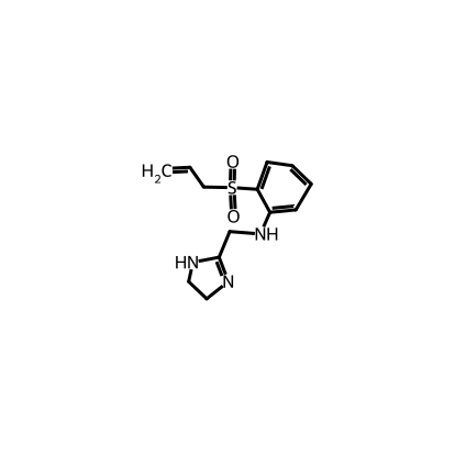 C=CCS(=O)(=O)c1ccccc1NCC1=NCCN1